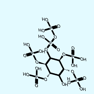 O=P(O)(O)O[C@@H]1C(O)[C@H](OP(=O)(O)O)[C@@H](OP(=O)(O)O)C(OP(=O)(O)OP(=O)(O)O)[C@H]1OP(=O)(O)O